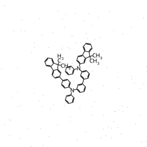 CC1(C)c2ccccc2-c2ccc(-c3ccc(N(c4ccccc4)c4cccc(-c5cccc(N(c6ccccc6)c6ccc7c(c6)C(C)(C)c6ccccc6-7)c5)c4)cc3)cc21